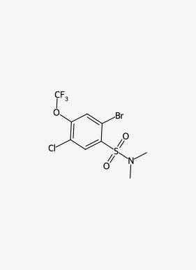 CN(C)S(=O)(=O)c1cc(Cl)c(OC(F)(F)F)cc1Br